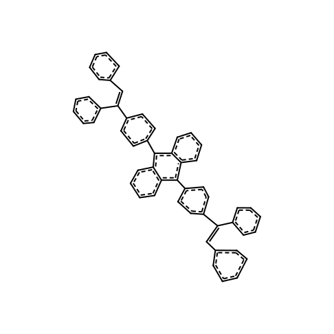 C(=C(c1ccccc1)c1ccc(-c2c3ccccc3c(-c3ccc(C(=Cc4ccccc4)c4ccccc4)cc3)c3ccccc23)cc1)c1ccccc1